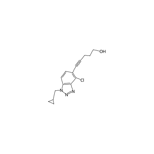 OCCCC#Cc1ccc2c(nnn2CC2CC2)c1Cl